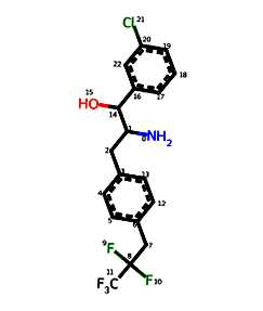 NC(Cc1ccc(CC(F)(F)C(F)(F)F)cc1)C(O)c1cccc(Cl)c1